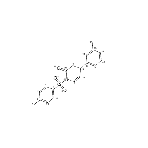 Cc1ccc(S(=O)(=O)N2C=CC(c3cccc(C)c3)CC2=O)cc1